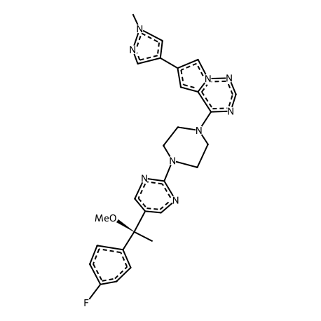 CO[C@@](C)(c1ccc(F)cc1)c1cnc(N2CCN(c3ncnn4cc(-c5cnn(C)c5)cc34)CC2)nc1